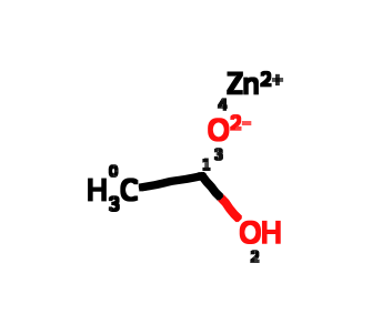 CCO.[O-2].[Zn+2]